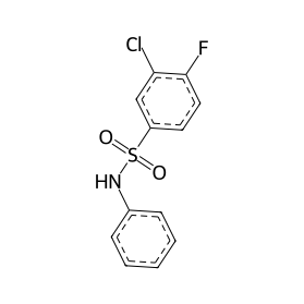 O=S(=O)(Nc1ccccc1)c1ccc(F)c(Cl)c1